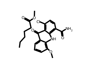 CCCCCC(=O)OC.COc1cccc2c(=O)c3c(Cl)ccc(C(N)=O)c3[nH]c12